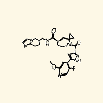 COc1cc(-c2cc(C(=O)N3CCC(C(=O)NCC4CCc5nccn5C4)CC34CC4)n[nH]2)c(F)cn1